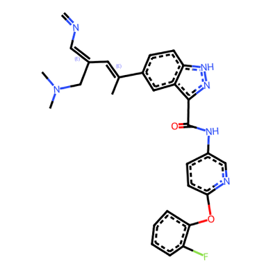 C=N/C=C(\C=C(/C)c1ccc2[nH]nc(C(=O)Nc3ccc(Oc4ccccc4F)nc3)c2c1)CN(C)C